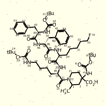 CC1CC(NC(=O)OC(C)(C)C)(C(=O)O)CCN1C(=O)[C@@H](CCCCNC(=O)OC(C)(C)C)NC(=O)C(CCCCCF)NC(=O)[C@@H](Cc1ccccc1)NC(=O)[C@@H](Cc1ccccc1)NC(=O)OC(C)(C)C